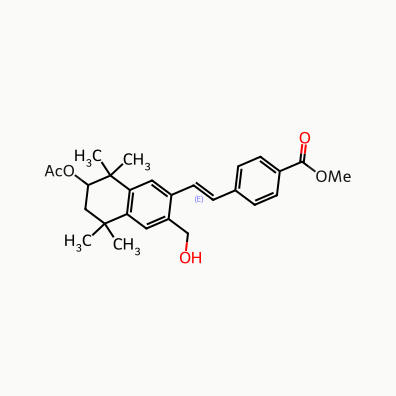 COC(=O)c1ccc(/C=C/c2cc3c(cc2CO)C(C)(C)CC(OC(C)=O)C3(C)C)cc1